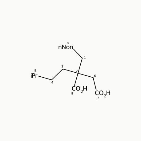 CCCCCCCCCCC(CCC(C)C)(CC(=O)O)C(=O)O